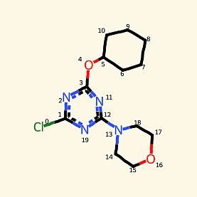 Clc1nc(OC2CCCCC2)nc(N2CCOCC2)n1